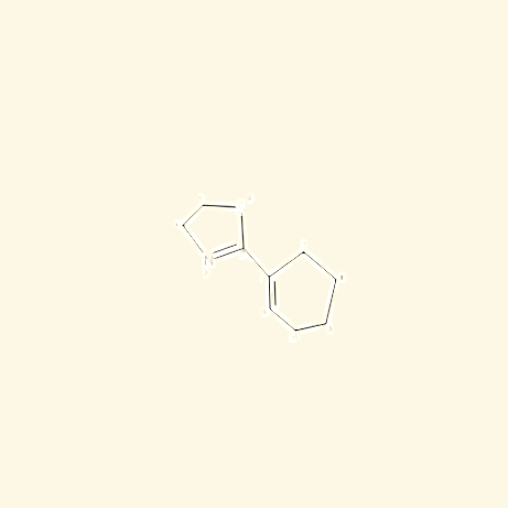 C1=C(C2=NCCS2)CCCC1